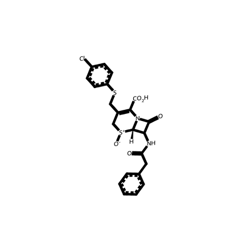 O=C(Cc1ccccc1)NC1C(=O)N2C(C(=O)O)=C(CSc3ccc(Cl)cc3)C[S+]([O-])[C@@H]12